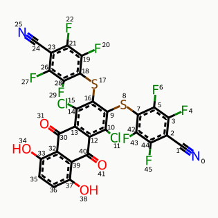 N#Cc1c(F)c(F)c(Sc2c(Cl)c3c(c(Cl)c2Sc2c(F)c(F)c(C#N)c(F)c2F)C(=O)c2c(O)ccc(O)c2C3=O)c(F)c1F